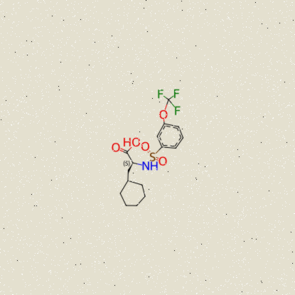 O=C(O)[C@H](CC1CCCCC1)NS(=O)(=O)c1cccc(OC(F)(F)F)c1